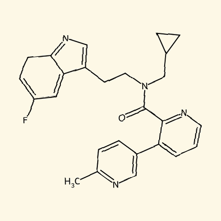 Cc1ccc(-c2cccnc2C(=O)N(CCC2=CN=C3CC=C(F)C=C23)CC2CC2)cn1